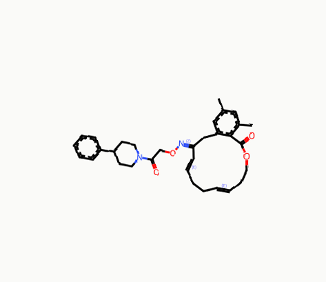 Cc1cc(C)c2c(c1)CC(=N/OCC(=O)N1CCC(c3ccccc3)CC1)/C=C/CC/C=C/CCOC2=O